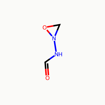 O=CNN1CO1